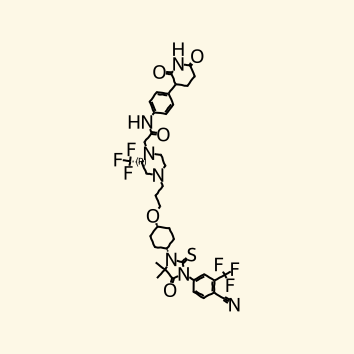 CC1(C)C(=O)N(c2ccc(C#N)c(C(F)(F)F)c2)C(=S)N1[C@H]1CC[C@H](OCCCN2CCN(CC(=O)Nc3ccc(C4CCC(=O)NC4=O)cc3)[C@@H](C(F)(F)F)C2)CC1